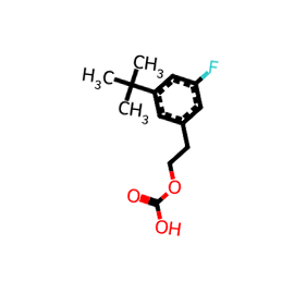 CC(C)(C)c1cc(F)cc(CCOC(=O)O)c1